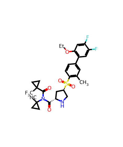 CCOc1cc(F)c(F)cc1-c1ccc(S(=O)(=O)[C@H]2CN[C@H](C(=O)N(C(=O)C3(C(F)(F)F)CC3)C3(C#N)CC3)C2)c(C)c1